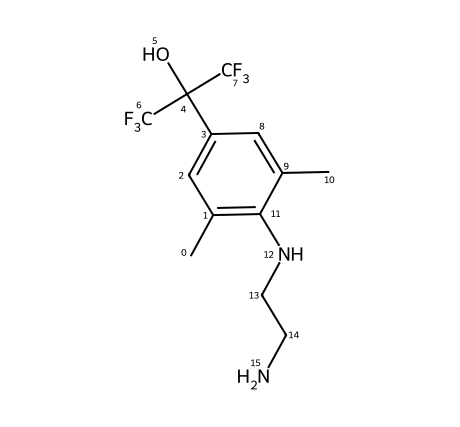 Cc1cc(C(O)(C(F)(F)F)C(F)(F)F)cc(C)c1NCCN